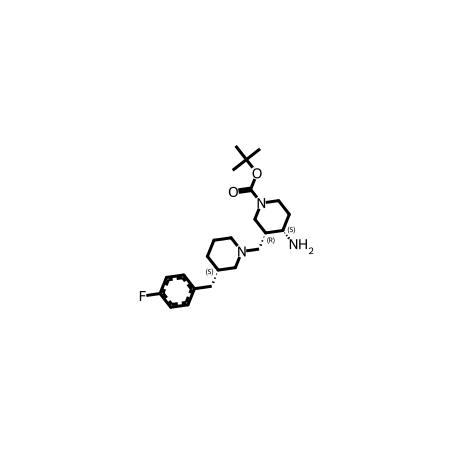 CC(C)(C)OC(=O)N1CC[C@H](N)[C@H](CN2CCC[C@@H](Cc3ccc(F)cc3)C2)C1